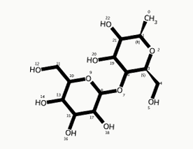 C[C@H]1O[C@@H](CO)C(OC2OC(CO)C(O)C(O)C2O)C(O)C1O